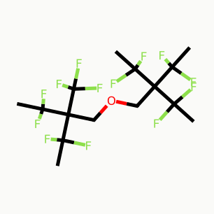 CC(F)(F)C(COCC(C(C)(F)F)(C(C)(F)F)C(F)(F)F)(C(C)(F)F)C(C)(F)F